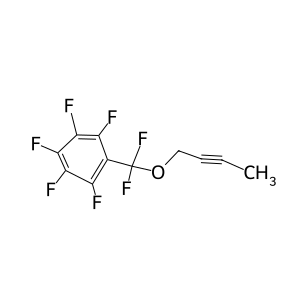 CC#CCOC(F)(F)c1c(F)c(F)c(F)c(F)c1F